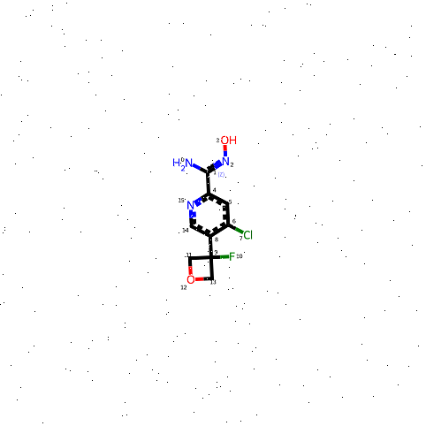 N/C(=N\O)c1cc(Cl)c(C2(F)COC2)cn1